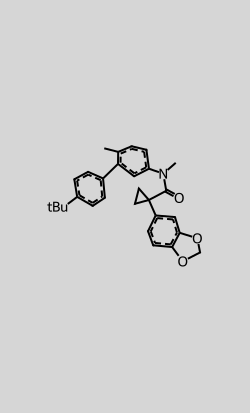 Cc1ccc(N(C)C(=O)C2(c3ccc4c(c3)OCO4)CC2)cc1-c1ccc(C(C)(C)C)cc1